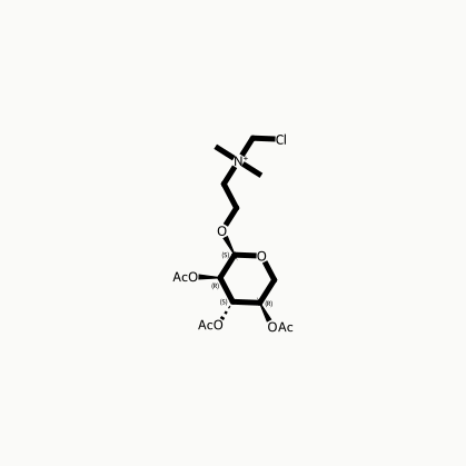 CC(=O)O[C@@H]1[C@@H](OC(C)=O)[C@@H](OCC[N+](C)(C)CCl)OC[C@H]1OC(C)=O